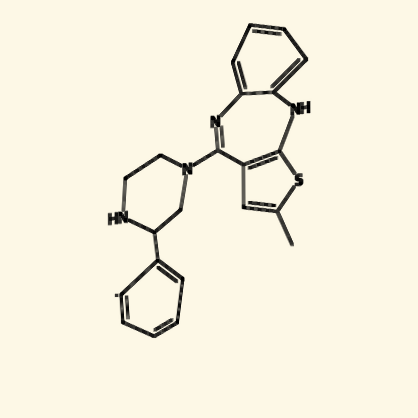 Cc1cc2c(s1)Nc1ccccc1N=C2N1CCNC(c2[c]cccc2)C1